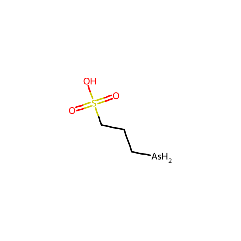 O=S(=O)(O)CCC[AsH2]